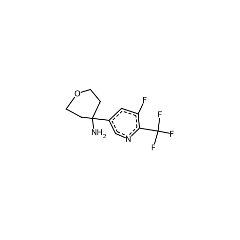 NC1(c2cnc(C(F)(F)F)c(F)c2)CCOCC1